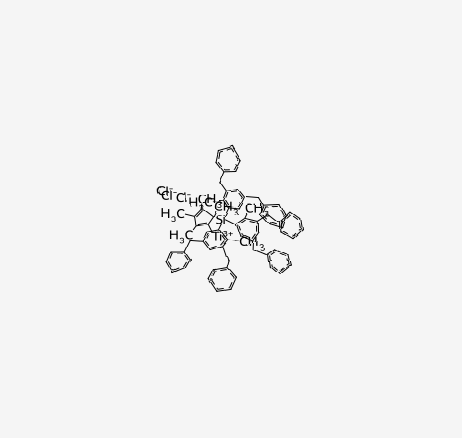 CC1=C(C)C(C)([Si](c2cc(Cc3ccccc3)cc(Cc3ccccc3)c2C)(c2cc(Cc3ccccc3)cc(Cc3ccccc3)c2C)c2cc(Cc3ccccc3)cc(Cc3ccccc3)c2C)[C]([Ti+3])=C1C.[Cl-].[Cl-].[Cl-]